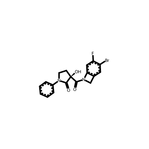 O=C1N(c2ccccc2)CC[C@]1(O)C(=O)N1Cc2cc(Br)c(F)cc21